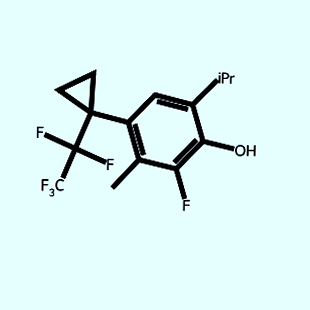 Cc1c(C2(C(F)(F)C(F)(F)F)CC2)cc(C(C)C)c(O)c1F